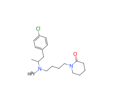 CCCN(CCCCN1CCCCC1=O)C(C)Cc1ccc(Cl)cc1